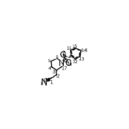 N#CCC1CCCN(S(=O)(=O)c2ccccc2)C1